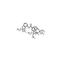 CN(SN(C(C)(C)C)P1(=S)OCC(C)(C)CO1)C(=O)Oc1cccc2c1OC(C)(C)C2